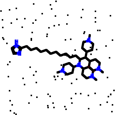 CN1CCC(C(C2CCN(C)CC2)C(CCCCCCCCCCCc2ncc[nH]2)N(C2CCN(C)CC2)C2CCN(C)CC2)CC1